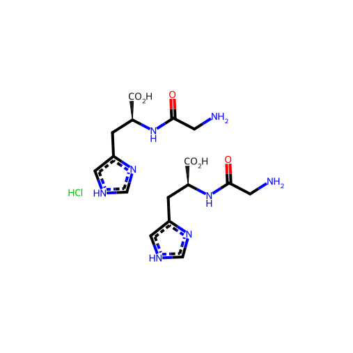 Cl.NCC(=O)N[C@@H](Cc1c[nH]cn1)C(=O)O.NCC(=O)N[C@@H](Cc1c[nH]cn1)C(=O)O